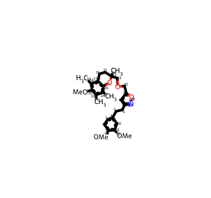 COc1ccc(CCc2cc(COCC3(C)CCc4c(C)c(OC)c(C)c(C)c4O3)on2)cc1OC